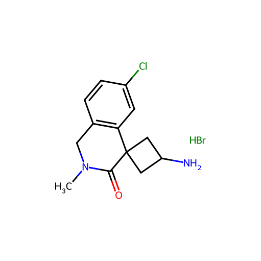 Br.CN1Cc2ccc(Cl)cc2C2(CC(N)C2)C1=O